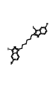 Fc1ccc2nn(CCCCCCn3nc(I)c4cc(F)ccc43)c(I)c2c1